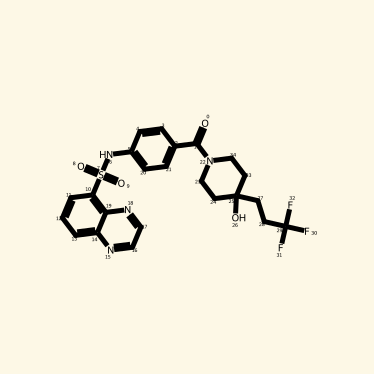 O=C(c1ccc(NS(=O)(=O)c2cccc3nccnc23)cc1)N1CCC(O)(CCC(F)(F)F)CC1